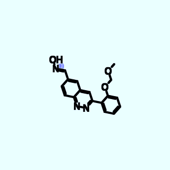 COCOc1ccccc1-c1cc2cc(/C=N/O)ccc2nn1